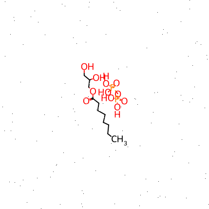 CCCCCCCC(=O)OCC(O)CO.O=P(O)(O)OP(=O)(O)O